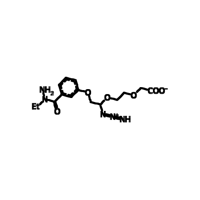 CCN(N)C(=O)c1cccc(OCC(N=[N+]=N)OCCOCC(=O)[O-])c1